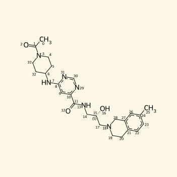 CC(=O)N1CCC(Nc2cc(C(=O)NC[C@H](O)CN3CCc4ccc(C)cc4C3)ncn2)CC1